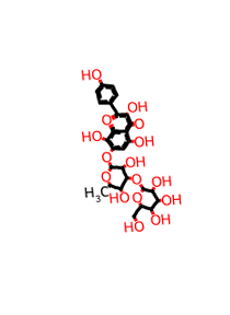 CC1OC(Oc2cc(O)c3c(=O)c(O)c(-c4ccc(O)cc4)oc3c2O)C(O)C(OC2OC(CO)C(O)C(O)C2O)C1O